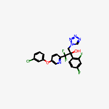 OC(Cn1cnnn1)(c1ccc(F)cc1F)C(F)(F)c1ccc(Oc2cccc(Cl)c2)cn1